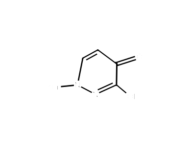 CCCn1ccc(=O)c(O)n1